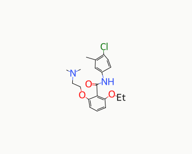 CCOc1cccc(OCCN(C)C)c1C(=O)Nc1ccc(Cl)c(C)c1